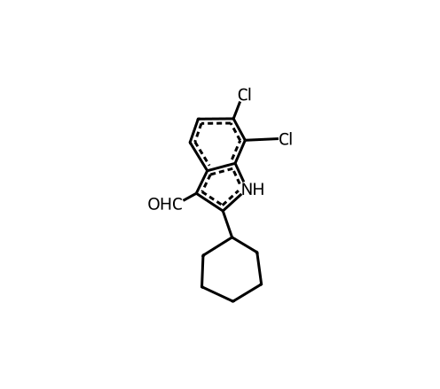 O=Cc1c(C2CCCCC2)[nH]c2c(Cl)c(Cl)ccc12